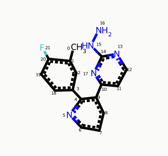 Cc1cc(-c2ncccc2-c2ccnc(NN)n2)ccc1F